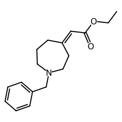 CCOC(=O)C=C1CCCN(Cc2ccccc2)CC1